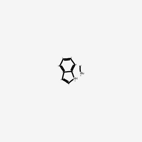 CCC(C)C.c1ccc2[nH]ccc2c1